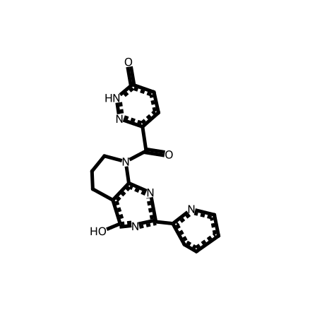 O=C(c1ccc(=O)[nH]n1)N1CCCc2c(O)nc(-c3ccccn3)nc21